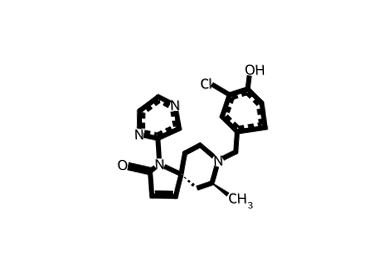 C[C@H]1C[C@@]2(C=CC(=O)N2c2cnccn2)CCN1Cc1ccc(O)c(Cl)c1